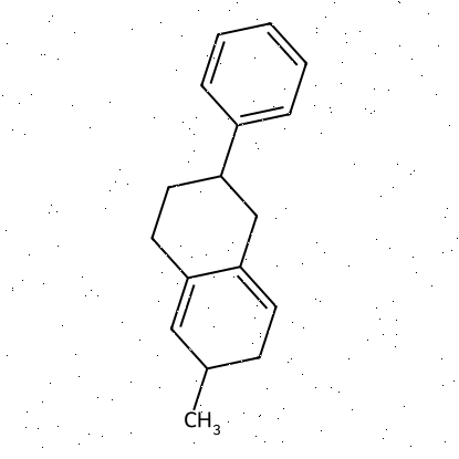 CC1C=C2CCC(c3ccccc3)CC2=CC1